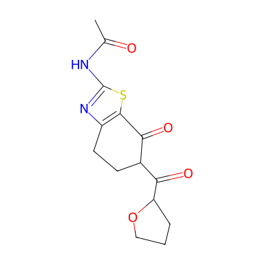 CC(=O)Nc1nc2c(s1)C(=O)C(C(=O)C1CCCO1)CC2